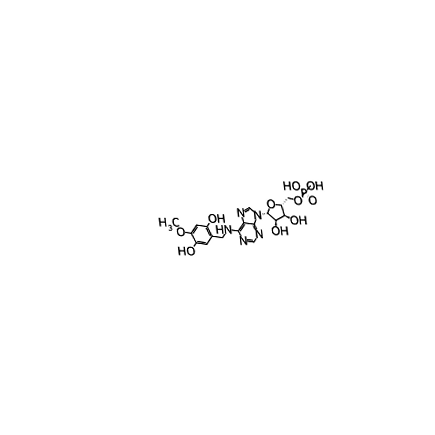 COc1cc(O)c(CNc2ncnc3c2ncn3[C@@H]2O[C@H](COP(=O)(O)O)[C@@H](O)[C@H]2O)cc1O